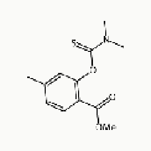 COC(=O)c1ccc(C)cc1OC(=S)N(C)C